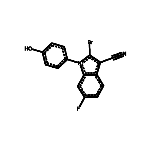 N#Cc1c(Br)n(-c2ccc(O)cc2)c2cc(F)ccc12